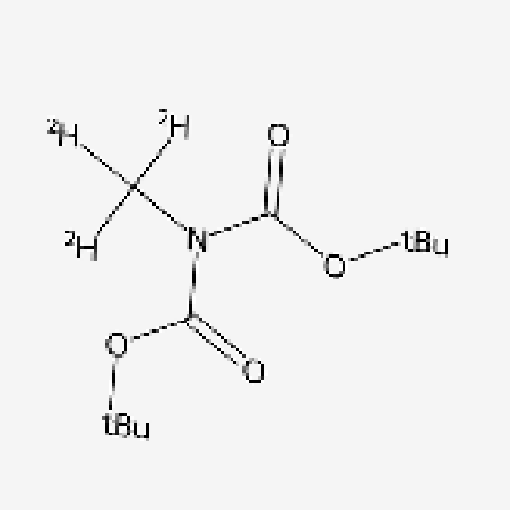 [2H]C([2H])([2H])N(C(=O)OC(C)(C)C)C(=O)OC(C)(C)C